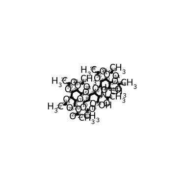 CC(=O)NC1C(O)OC(COC(C)=O)C(OC2OC(COC(C)=O)C(OC(C)=O)C(OC(C)=O)C2OC(C)=O)C1OC1OC(C)C(OC(C)=O)C(OC(C)=O)C1OC(C)=O